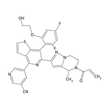 C=CC(=O)N1CCn2nc(-c3nc(-c4cncc(C#N)c4)c4ccsc4c3-c3c(F)cc(F)cc3OCCO)cc2C1C